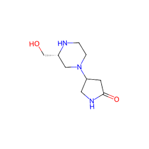 O=C1CC(N2CCN[C@@H](CO)C2)CN1